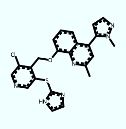 Cc1cc(-c2ccnn2C)c2cccc(OCc3c(Cl)cncc3Sc3ncc[nH]3)c2n1